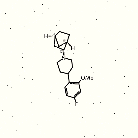 COc1cc(F)ccc1C1CCN([C@H]2C[C@H]3CC[C@H]2C3)CC1